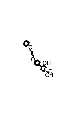 O=C(O)N1CCC(c2ccc(OC/C=C/COc3ccccc3)cc2)C(O)C1